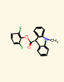 CN1c2ccccc2C(C(=O)Oc2c(F)cccc2F)c2ccccc21